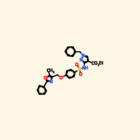 CCOC(=O)c1cn(Cc2ccccc2)nc1NS(=O)(=O)c1ccc(OCc2nc(-c3ccccc3)oc2C)cc1